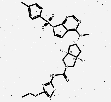 CCSc1nsc(NC(=O)N2C[C@H]3C[C@H](N(C)c4ncnc5c4ccn5S(=O)(=O)c4ccc(C)cc4)C[C@H]3C2)n1